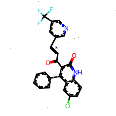 O=C(/C=C/c1cncc(C(F)(F)F)c1)c1c(-c2ccccc2)c2cc(Cl)ccc2[nH]c1=O